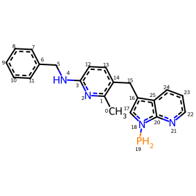 Cc1nc(NCc2ccccc2)ccc1Cc1cn(P)c2ncccc12